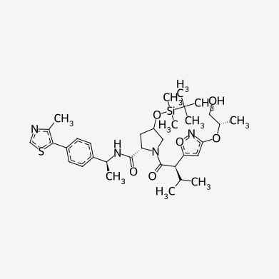 Cc1ncsc1-c1ccc([C@H](C)NC(=O)[C@@H]2CC(O[Si](C)(C)C(C)(C)C)CN2C(=O)[C@@H](c2cc(O[C@@H](C)CO)no2)C(C)C)cc1